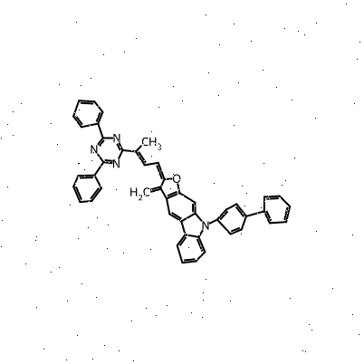 C=c1/c(=C\C=C(/C)c2nc(-c3ccccc3)nc(-c3ccccc3)n2)oc2cc3c(cc12)c1ccccc1n3-c1ccc(-c2ccccc2)cc1